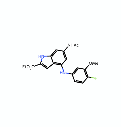 CCOC(=O)c1cc2c(Nc3ccc(F)c(OC)c3)cc(NC(C)=O)cc2[nH]1